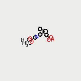 COC(OC)C1CCN(c2ccc([C@@H]3c4ccc(C(=O)O)cc4CCC[C@@H]3c3ccccc3)cc2)CC1